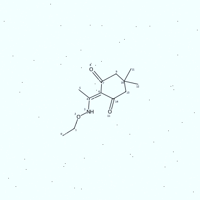 CCONC(C)=C1C(=O)CC(C)(C)CC1=O